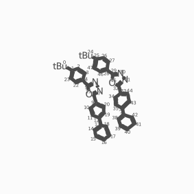 CC(C)(C)c1ccc(-c2nnc(-c3ccc(-c4ccccc4)cc3)o2)cc1.CC(C)(C)c1ccc(-c2nnc(-c3ccc(-c4ccccc4)cc3)o2)cc1